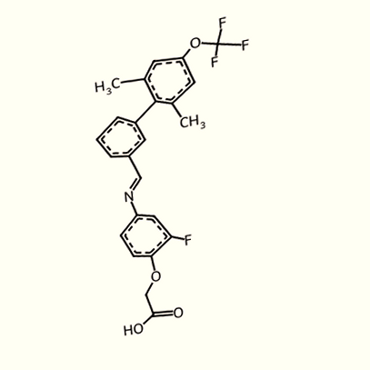 Cc1cc(OC(F)(F)F)cc(C)c1-c1cccc(C=Nc2ccc(OCC(=O)O)c(F)c2)c1